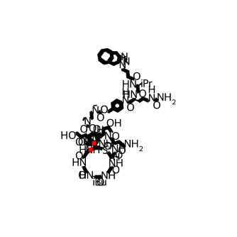 CC[C@H](C)[C@@H]1NC(=O)CNC(=O)[C@H]2Cc3c([nH]c4cc(OC(=O)N(C)CCN(C)C(=O)OCc5ccc(NC(=O)[C@H](CCCNC(N)=O)NC(=O)[C@@H](NC(=O)CCCn6nnc7c6CC6=CC(=C/C=C\C=C/6)\C7)C(C)C)cc5)ccc34)[S+]([O-])C[C@H](NC(=O)CNC1=O)C(=O)NC(CC(N)=O)C(=O)N1C[C@H](O)C[C@H]1C(=O)N[C@@H]([C@@H](C)[C@@H](O)CO)C(=O)N2